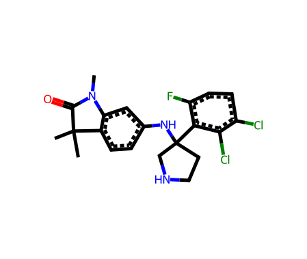 CN1C(=O)C(C)(C)c2ccc(NC3(c4c(F)ccc(Cl)c4Cl)CCNC3)cc21